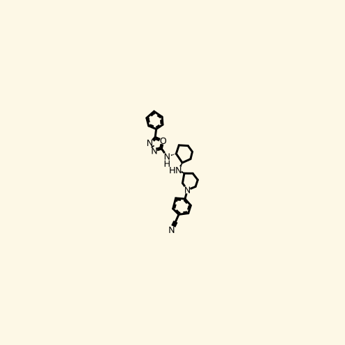 N#Cc1ccc(N2CCC[C@H](N[C@@H]3CCCC[C@H]3Nc3nnc(-c4ccccc4)o3)C2)cc1